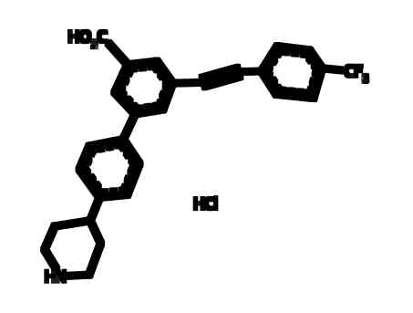 Cl.O=C(O)c1cc(C#Cc2ccc(C(F)(F)F)cc2)cc(-c2ccc(C3CCNCC3)cc2)c1